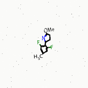 COC1=NC(c2c(F)cc(C)cc2F)CC1